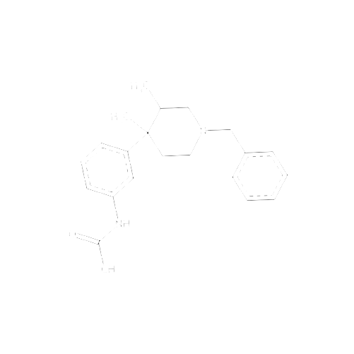 CC(=O)Nc1cccc(C2(C)CCN(Cc3ccccc3)CC2C)c1